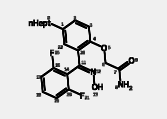 CCCCCCCc1ccc(OCC(N)=O)c(C(=NO)c2c(F)cccc2F)c1